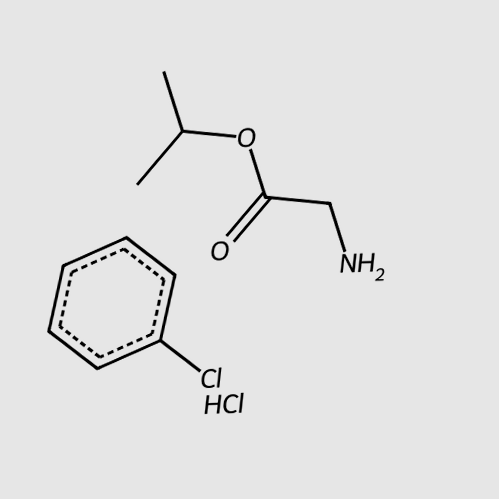 CC(C)OC(=O)CN.Cl.Clc1ccccc1